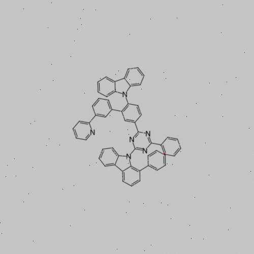 c1ccc(-c2nc(-c3ccc(-n4c5ccccc5c5ccccc54)c(-c4cccc(-c5ccccn5)c4)c3)nc(-n3c4ccccc4c4cccc(-c5ccccc5)c43)n2)cc1